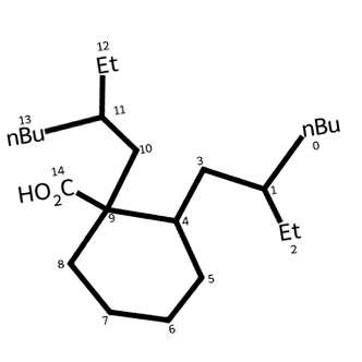 CCCCC(CC)CC1CCCCC1(CC(CC)CCCC)C(=O)O